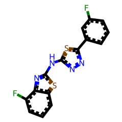 Fc1cccc(-c2nnc(Nc3nc4c(F)cccc4s3)s2)c1